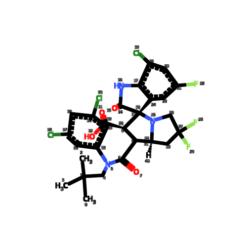 CC(C)(C)CN(C(=O)C1[C@@H](C(=O)O)[C@]2(C(=O)Nc3c(Cl)cc(F)cc32)N2CC(F)(F)C[C@@H]12)c1cc(Cl)cc(Cl)c1